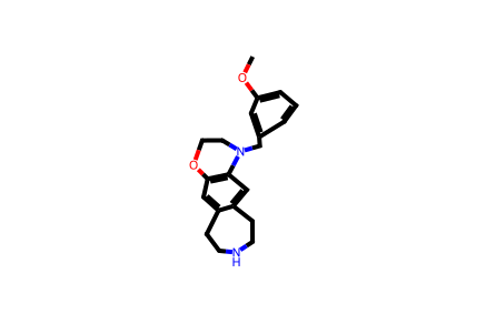 COc1cccc(CN2CCOc3cc4c(cc32)CCNCC4)c1